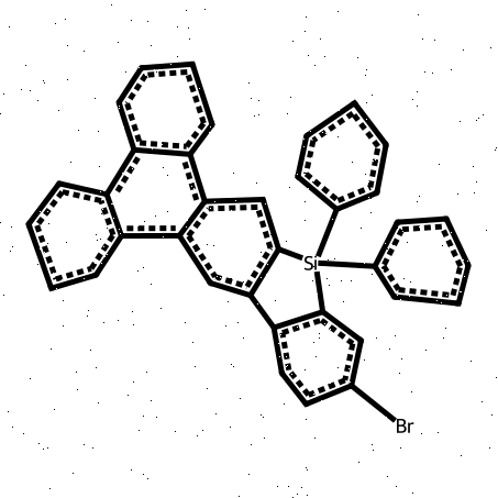 Brc1ccc2c(c1)[Si](c1ccccc1)(c1ccccc1)c1cc3c4ccccc4c4ccccc4c3cc1-2